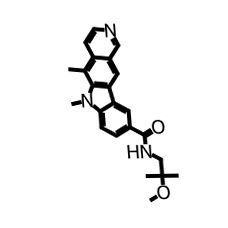 COC(C)(C)CNC(=O)c1ccc2c(c1)c1cc3cnccc3c(C)c1n2C